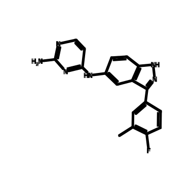 Cc1cc(-c2n[nH]c3ccc(Nc4ccnc(N)n4)cc23)ccc1F